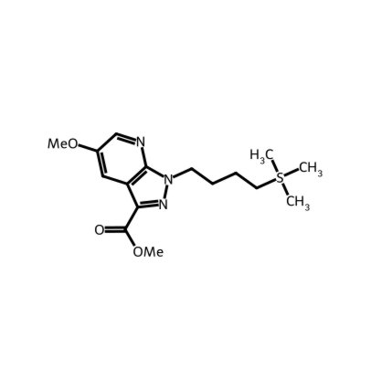 COC(=O)c1nn(CCCCS(C)(C)C)c2ncc(OC)cc12